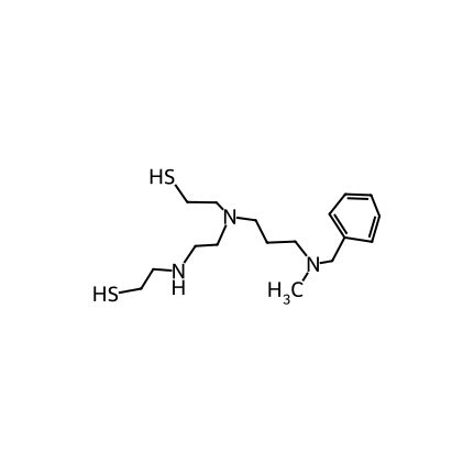 CN(CCCN(CCS)CCNCCS)Cc1ccccc1